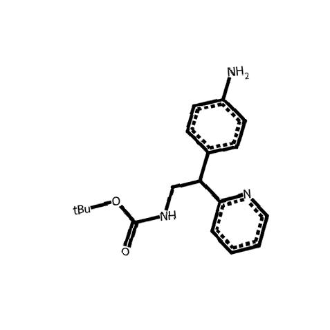 CC(C)(C)OC(=O)NCC(c1ccc(N)cc1)c1ccccn1